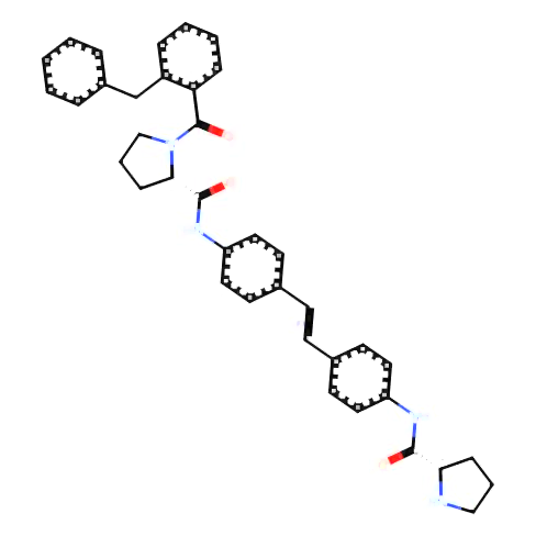 O=C(Nc1ccc(/C=C/c2ccc(NC(=O)[C@@H]3CCCN3C(=O)c3ccccc3Cc3ccccc3)cc2)cc1)[C@@H]1CCCN1